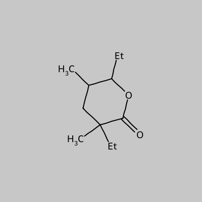 CCC1OC(=O)C(C)(CC)CC1C